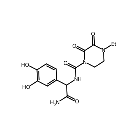 CCN1CCN(C(=O)NC(C(N)=O)c2ccc(O)c(O)c2)C(=O)C1=O